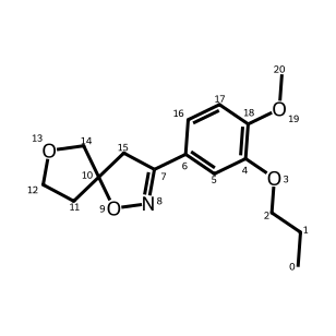 CCCOc1cc(C2=NOC3(CCOC3)C2)ccc1OC